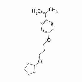 C=C(C)c1ccc(OCCCOC2CCCC2)cc1